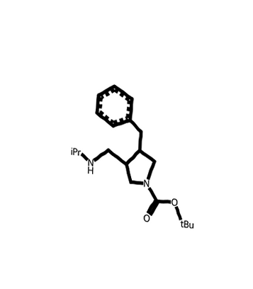 CC(C)NCC1CN(C(=O)OC(C)(C)C)CC1Cc1ccccc1